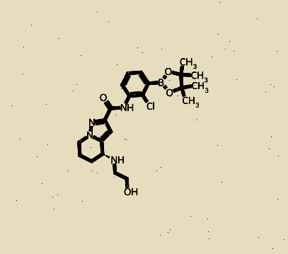 CC1(C)OB(c2cccc(NC(=O)c3cc4n(n3)CCC[C@H]4NCCO)c2Cl)OC1(C)C